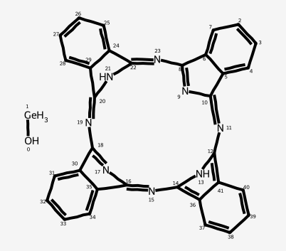 [OH][GeH3].c1ccc2c(c1)-c1nc-2nc2[nH]c(nc3nc(nc4[nH]c(n1)c1ccccc41)-c1ccccc1-3)c1ccccc21